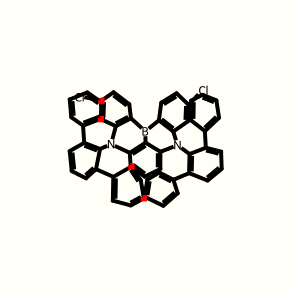 Clc1ccc2c(c1)N(c1c(-c3ccccc3)cccc1-c1ccccc1)c1cccc3c1B2c1ccc(Cl)cc1N3c1c(-c2ccccc2)cccc1-c1ccccc1